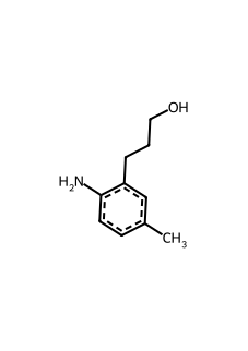 Cc1ccc(N)c(CCCO)c1